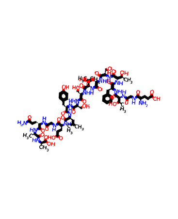 CC(C)C[C@H](NC(=O)[C@H](Cc1ccc(O)cc1)NC(=O)[C@H](CO)NC(=O)[C@H](CO)NC(=O)[C@@H](NC(=O)[C@H](CC(=O)O)NC(=O)[C@H](CO)NC(=O)[C@@H](NC(=O)[C@H](Cc1ccccc1)NC(=O)[C@@H](NC(=O)CNC(=O)[C@@H](N)CCC(=O)O)[C@@H](C)O)[C@@H](C)O)C(C)C)C(=O)N[C@@H](CCC(=O)O)C(=O)NCC(=O)N[C@@H](CCC(N)=O)C(=O)N[C@@H](C)C(=O)N[C@@H](C)C(=O)O